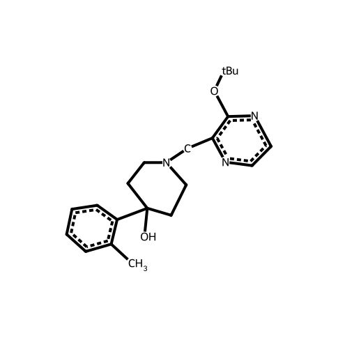 Cc1ccccc1C1(O)CCN(Cc2nccnc2OC(C)(C)C)CC1